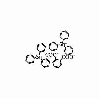 O=C([O-])c1ccccc1C(=O)[O-].c1cc[c]([Sn+]([c]2ccccc2)[c]2ccccc2)cc1.c1cc[c]([Sn+]([c]2ccccc2)[c]2ccccc2)cc1